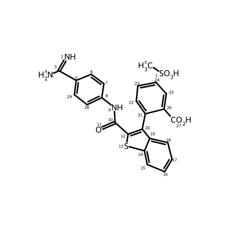 CS(=O)(=O)O.N=C(N)c1ccc(NC(=O)c2sc3ccccc3c2-c2ccccc2C(=O)O)cc1